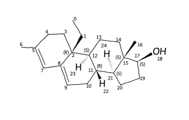 CC[C@]12CCC(C)=CC1=CC[C@@H]1[C@@H]2CC[C@]2(C)[C@@H](O)CC[C@@H]12